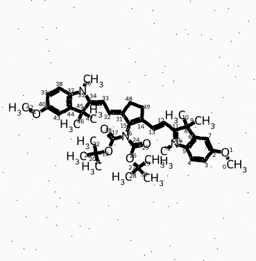 COc1ccc2c(c1)C(C)(C)C(/C=C/C1=C(N(C(=O)OC(C)(C)C)C(=O)OC(C)(C)C)C(=C/C=C3/N(C)c4ccc(OC)cc4C3(C)C)/CC1)=[N+]2C